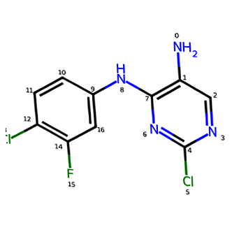 Nc1cnc(Cl)nc1Nc1ccc(Cl)c(F)c1